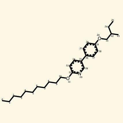 CCCCCCCCCCCOc1ccc(-c2ccc(OCC(C)CC)cc2)cn1